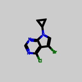 Clc1ncnc2c1c(Br)cn2C1CC1